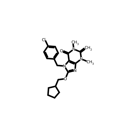 C=C1N(C)C(=O)c2c(nc(OCC3CCCC3)n2Cc2ccc(Cl)cc2)N1C